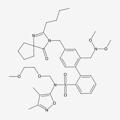 CCCCC1=NC2(CCCC2)C(=O)N1Cc1ccc(-c2ccccc2S(=O)(=O)N(COCCOC)c2onc(C)c2C)c(CN(OC)OC)c1